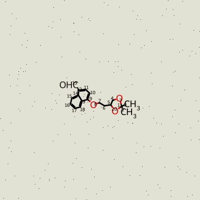 CC1(C)OCC(CCOc2ccc(C=O)c3ccccc23)O1